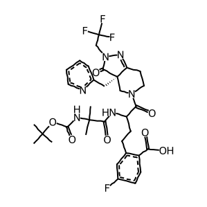 CC(C)(C)OC(=O)NC(C)(C)C(=O)NC(CCc1cc(F)ccc1C(=O)O)C(=O)N1CCC2=NN(CC(F)(F)F)C(=O)[C@]2(Cc2ccccn2)C1